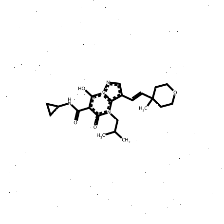 CC(C)Cn1c(=O)c(C(=O)NC2CC2)c(O)n2ncc(/C=C/C3(C)CCOCC3)c12